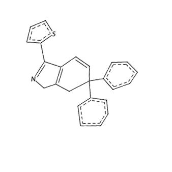 C1=CC(c2ccccc2)(c2ccccc2)CC2=C1C(c1cccs1)=NC2